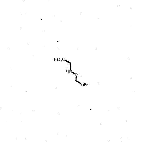 CCCCONCC(=O)O